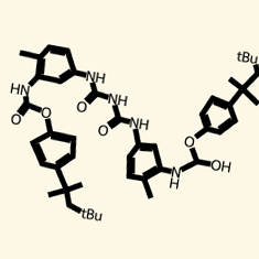 Cc1ccc(NC(=O)NC(=O)Nc2ccc(C)c(NC(O)Oc3ccc(C(C)(C)CC(C)(C)C)cc3)c2)cc1NC(=O)Oc1ccc(C(C)(C)CC(C)(C)C)cc1